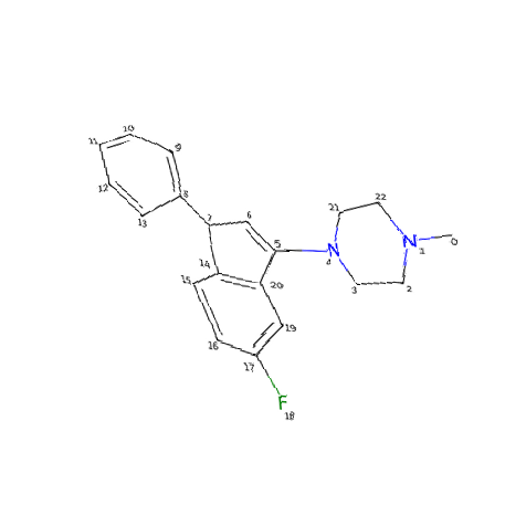 CN1CCN(C2=CC(c3ccccc3)c3ccc(F)cc32)CC1